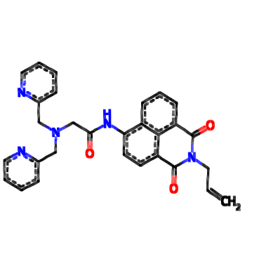 C=CCN1C(=O)c2cccc3c(NC(=O)CN(Cc4ccccn4)Cc4ccccn4)ccc(c23)C1=O